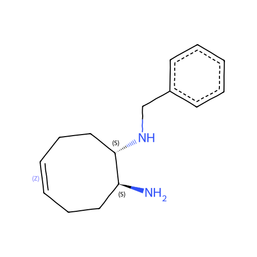 N[C@H]1CC/C=C\CC[C@@H]1NCc1ccccc1